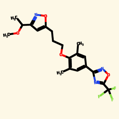 COC(C)c1cc(CCCOc2c(C)cc(-c3noc(C(F)(F)F)n3)cc2C)on1